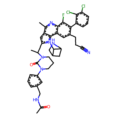 CC(=O)NCc1cccc(N2CCCN(C(C)c3cc4c(C)nc5c(F)c(-c6cccc(Cl)c6Cl)c(CCC#N)cc5c4n3C3C4CNC3C4)C2=O)c1